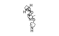 Cc1c(OC2CCNCC2)ncnc1O[C@@H]1C[C@H]2CC[C@@H](C1)N2SC1CC1